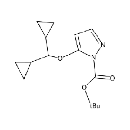 CC(C)(C)OC(=O)n1nccc1OC(C1CC1)C1CC1